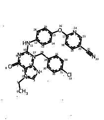 CCn1cnc2c1c(=O)nc(Nc1ccc(Oc3ccc(C#N)cn3)cc1)n2Cc1ccc(Cl)cc1